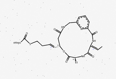 C/C=C1\NC(=O)c2cccc(n2)CNC(=O)C[C@@H](/C=C/CCSC(=O)CCCCCCC)OC(=O)[C@H](CC)NC1=O